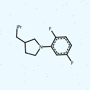 CC(C)CC1CCN(c2cc(F)ccc2F)C1